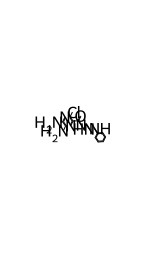 Nc1nc(Cl)c(C(=O)N=CNNc2ccccc2)nc1N